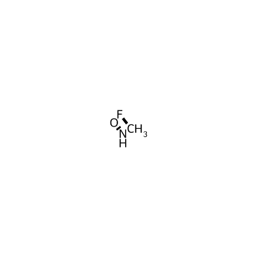 CF.N=O